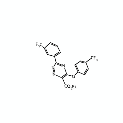 CCOC(=O)c1nnc(-c2cccc(C(F)(F)F)c2)nc1Oc1ccc(C(F)(F)F)cc1